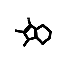 CC1=[C]([Ti])C2=C(CCCC2)C1C